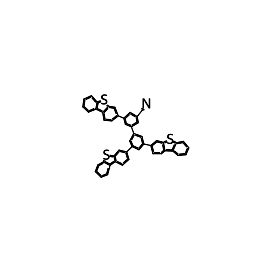 N#Cc1cc(-c2cc(-c3ccc4c(c3)sc3ccccc34)cc(-c3ccc4c(c3)sc3ccccc34)c2)cc(-c2ccc3c(c2)sc2ccccc23)c1